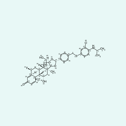 CC(C)Nc1ccc(SCc2ccc([C@H]3O[C@@H]4C[C@H]5[C@@H]6C[C@H](F)C7=CC(=O)C=C[C@]7(C)[C@@]6(F)[C@@H](O)C[C@]5(C)[C@]4(C(=O)CO)O3)cc2)cc1Cl